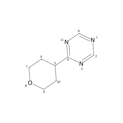 c1ncnc(C2CCOCC2)n1